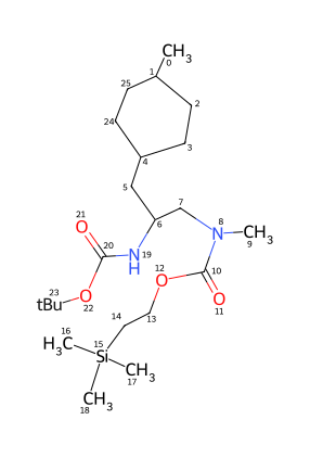 CC1CCC(CC(CN(C)C(=O)OCC[Si](C)(C)C)NC(=O)OC(C)(C)C)CC1